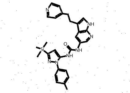 Cc1ccc(-n2nc([Si](C)(C)C)cc2NC(=O)Nc2cnc3[nH]cc(CCc4ccncc4)c3c2)cc1